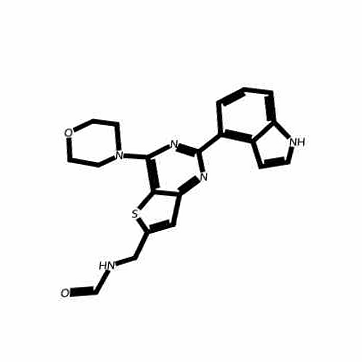 O=CNCc1cc2nc(-c3cccc4[nH]ccc34)nc(N3CCOCC3)c2s1